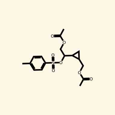 CC(=O)OCC1CC1C(COC(C)=O)OS(=O)(=O)c1ccc(C)cc1